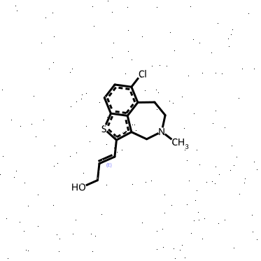 CN1CCc2c(Cl)ccc3sc(/C=C/CO)c(c23)C1